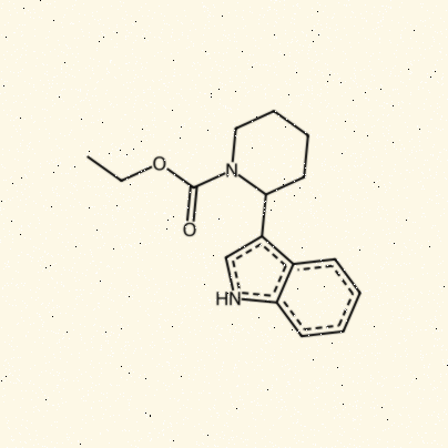 CCOC(=O)N1CCCCC1c1c[nH]c2ccccc12